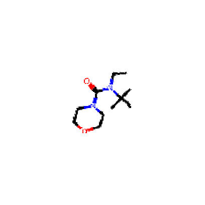 CCN(C(=O)N1CCOCC1)C(C)(C)C